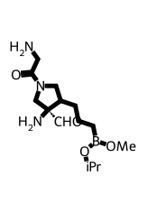 COB(CCCC1CN(C(=O)CN)C[C@@]1(N)C=O)OC(C)C